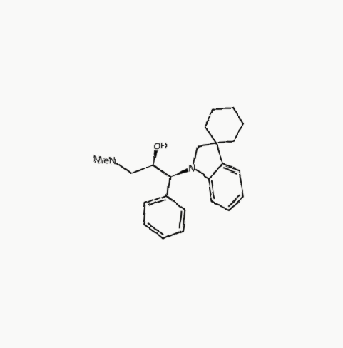 CNC[C@@H](O)[C@H](c1ccccc1)N1CC2(CCCCC2)c2ccccc21